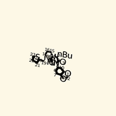 CCCC[C@@H](C(=O)Nc1ccc2c(c1)OCO2)N1CCCN(Cc2cccs2)C1=O